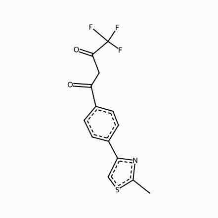 Cc1nc(-c2ccc(C(=O)CC(=O)C(F)(F)F)cc2)cs1